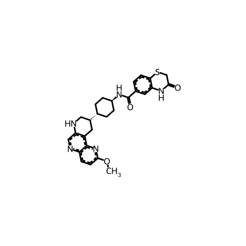 COc1ccc2ncc3c(c2n1)CC([C@H]1CC[C@H](NC(=O)c2ccc4c(c2)NC(=O)CS4)CC1)CN3